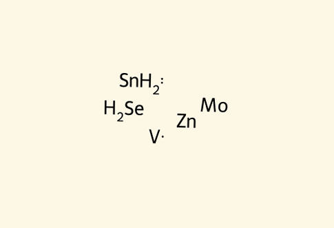 [Mo].[SeH2].[SnH2].[V].[Zn]